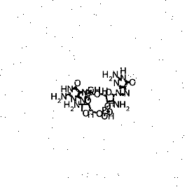 Nc1nc2c(ncn2[C@@H]2O[C@@H]3COP(=O)(O)OC4[C@@H](COP(=O)(O)O[C@@H]3[C@@H]2N)OC[C@]4(N)n2cnc3c(=O)[nH]c(N)nc32)c(=O)[nH]1